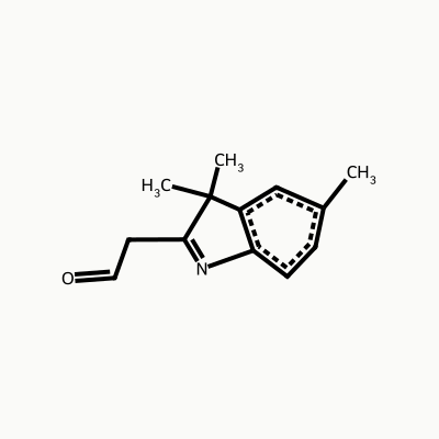 Cc1ccc2c(c1)C(C)(C)C(CC=O)=N2